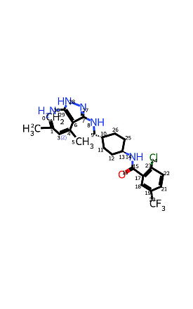 C=C(C)/C=C(/C)c1c(NC[C@H]2CC[C@H](NC(=O)c3cc(C(F)(F)F)ccc3Cl)CC2)n[nH]c1N